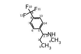 CCC(NC)c1ccc(C(F)(F)F)cc1